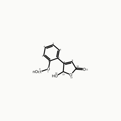 CCCCCCCCOc1ccccc1C1=CC(=O)OC1O